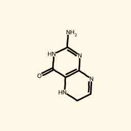 Nc1nc2c(c(=O)[nH]1)NCC=N2